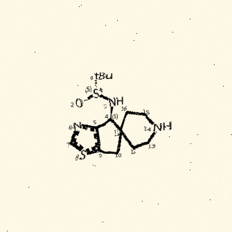 CC(C)(C)[S@@+]([O-])N[C@@H]1c2ncsc2CC12CCNCC2